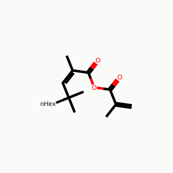 C=C(C)C(=O)OC(=O)C(C)=CC(C)(C)CCCCCC